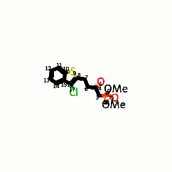 COP(=O)(CC(=O)CCc1sc2ccccc2c1Cl)OC